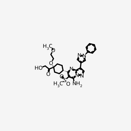 COCCO[C@]1(C(=O)CO)CC[C@H](c2nc3c(-c4cnn(-c5ccccc5)c4)cnn3c(N)c2S(C)(=O)=O)CC1